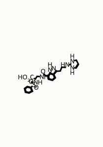 O=C(NCC(NS(=O)(=O)c1ccccc1)C(=O)O)c1cccc2c(CCCNC3NC=CCN3)n[nH]c12